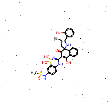 CC(C)(C)CCC1(NCc2ccccc2O)C(=O)C(C2=NS(O)(O)c3cc(NS(C)(=O)=O)ccc3N2)=C(O)c2ccccc21